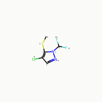 CSc1c(Cl)[c]nn1C(F)F